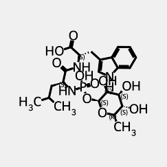 CC(C)C[C@H](NP(=O)(O)O[C@@H]1O[C@H](C)[C@@H](O)[C@H](O)[C@@H]1O)C(=O)N[C@@H](Cc1c[nH]c2ccccc12)C(=O)O